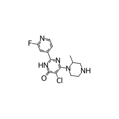 CC1CNCCN1c1nc(-c2ccnc(F)c2)[nH]c(=O)c1Cl